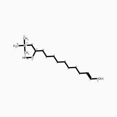 CCCCCCCCC=CCCCCCCCCC(C[N+](C)(C)C)O[PH-]